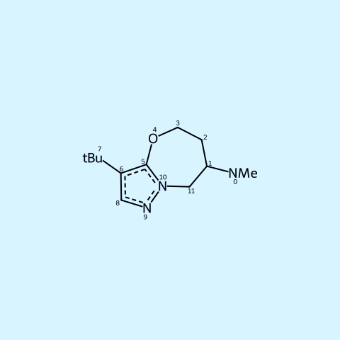 CNC1CCOc2c(C(C)(C)C)cnn2C1